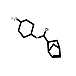 NC1CCC(OC(O)C2CC3C=CC2C3)CC1